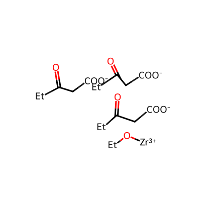 CCC(=O)CC(=O)[O-].CCC(=O)CC(=O)[O-].CCC(=O)CC(=O)[O-].CC[O][Zr+3]